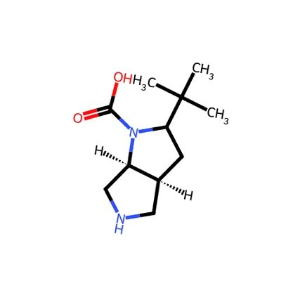 CC(C)(C)C1C[C@H]2CNC[C@H]2N1C(=O)O